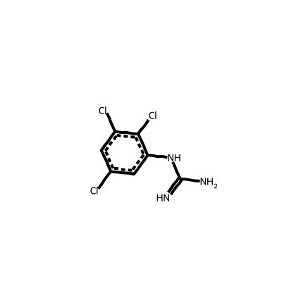 N=C(N)Nc1cc(Cl)cc(Cl)c1Cl